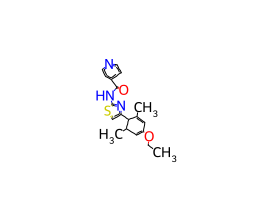 CCOC1=CC(C)C(c2csc(NC(=O)c3ccncc3)n2)C(C)=C1